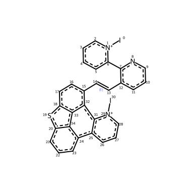 I[n+]1ccccc1-c1ncccc1/C=C/c1ccc2sc3cccc4c5ccc[n+](I)c5c1c2c34